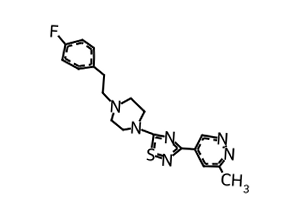 Cc1cc(-c2nsc(N3CCN(CCc4ccc(F)cc4)CC3)n2)cnn1